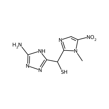 Cn1c([N+](=O)[O-])cnc1C(S)c1nnc(N)[nH]1